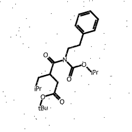 CC(C)CC(CC(=O)OC(C)(C)C)C(=O)N(CCc1ccccc1)C(=O)OC(C)C